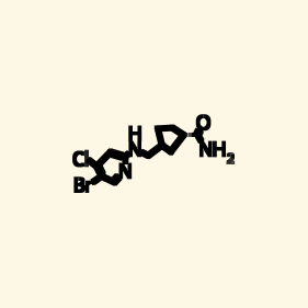 NC(=O)[C@H]1CCC(CNc2cc(Cl)c(Br)cn2)C1